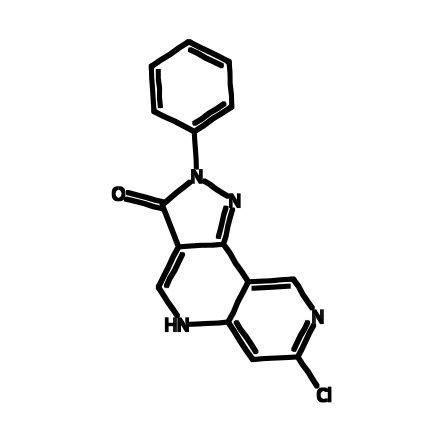 O=c1c2c[nH]c3cc(Cl)ncc3c-2nn1-c1ccccc1